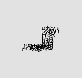 O.O.O.O.O.O.O.O.O.O.O.O.O=P(O)(O)O.O=P(O)(O)O.O=P(O)(O)O.[NaH]